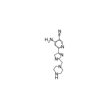 N#Cc1cnc(C2=NC(CN3CCNCC3)=NC2)cc1N